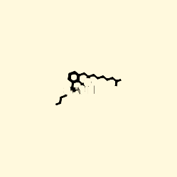 CCCCOC(=O)c1cccc(CCCCCCCC(C)C)c1C(=O)O